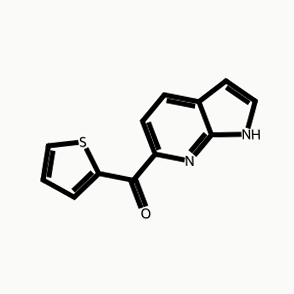 O=C(c1ccc2cc[nH]c2n1)c1cccs1